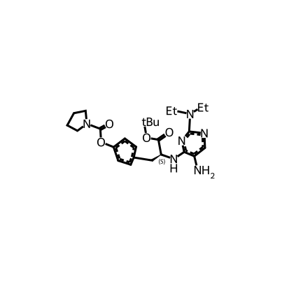 CCN(CC)c1ncc(N)c(N[C@@H](Cc2ccc(OC(=O)N3CCCC3)cc2)C(=O)OC(C)(C)C)n1